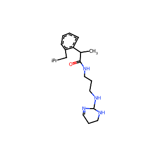 CC(C)Cc1ccccc1C(C)C(=O)NCCCNC1N=CCCN1